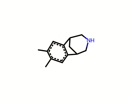 Cc1cc2c(cc1C)C1CNCC2C1